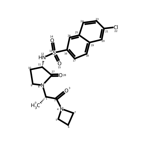 C[C@@H](C(=O)N1CCC1)N1CC[C@H](NS(=O)(=O)c2ccc3cc(Cl)ccc3c2)C1=O